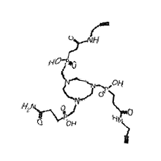 C#CCNC(=O)CCP(=O)(O)CN1CCN(CP(=O)(O)CCC(N)=O)CCN(CP(=O)(O)CCC(=O)NCC#C)CC1